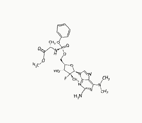 COC(=O)[C@H](C)N[P@@](=O)(OC[C@H]1O[C@@H](n2cnc3c(N(C)C)nc(N)nc32)[C@](C)(F)[C@@H]1O)Oc1ccccc1